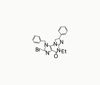 CCN1C(=O)c2nc(Br)n(Cc3ccccc3)c2N2CC(c3ccccc3)N=C12